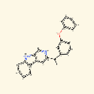 CC(c1cccc(Oc2ccccc2)c1)c1cc2c(cn1)[nH]c1ccccc12